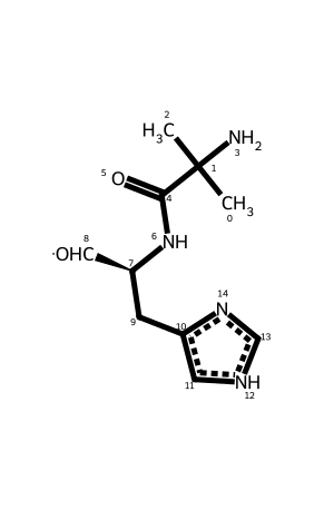 CC(C)(N)C(=O)N[C@H]([C]=O)Cc1c[nH]cn1